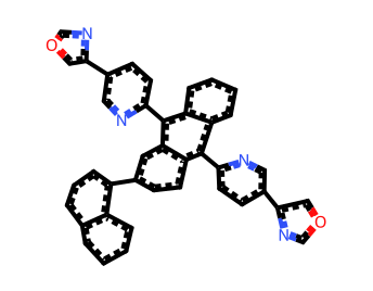 c1ccc2c(-c3ccc4c(-c5ccc(-c6cocn6)cn5)c5ccccc5c(-c5ccc(-c6cocn6)cn5)c4c3)cccc2c1